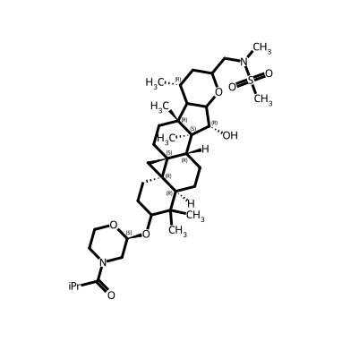 CC(C)C(=O)N1CCO[C@@H](OC2CC[C@]34C[C@]35CC[C@]3(C)C6C(OC(CN(C)S(C)(=O)=O)C[C@H]6C)[C@H](O)[C@@]3(C)[C@@H]5CC[C@H]4C2(C)C)C1